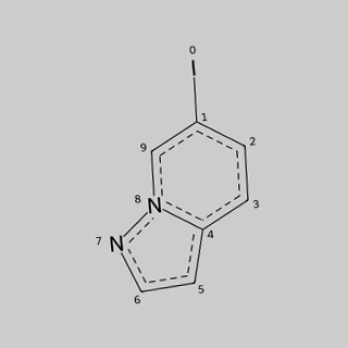 Ic1ccc2ccnn2c1